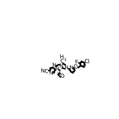 C[C@H]1CN(c2cccc(OCc3ccc(Cl)cc3F)n2)CCN1Cc1nc2cc(C#N)ncc2n1C[C@@H]1CCO1